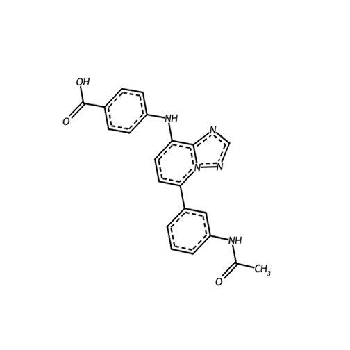 CC(=O)Nc1cccc(-c2ccc(Nc3ccc(C(=O)O)cc3)c3ncnn23)c1